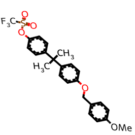 COc1ccc(COc2ccc(C(C)(C)c3ccc(OS(=O)(=O)C(F)(F)F)cc3)cc2)cc1